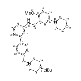 CCC(C)N1CCN(Cc2ccc(-c3cc(NSc4cc(N5CCOCC5)cnc4OC)ccn3)cc2)CC1